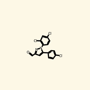 O=Cc1cc(-c2ccc(Cl)cc2)n(-c2ccc(Cl)cc2Cl)n1